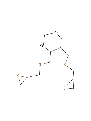 C1[Se]CC(CSCC2CS2)C(CSCC2CS2)[Se]1